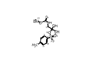 Cc1ccc(S(=O)(=O)OC(O)(O)CNC(=O)OC(C)(C)C)cc1